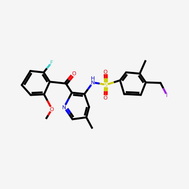 COc1cccc(F)c1C(=O)c1ncc(C)cc1NS(=O)(=O)c1ccc(CI)c(C)c1